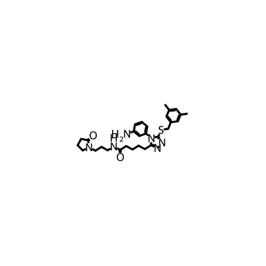 Cc1cc(C)cc(CSc2nnc(CCCCC(=O)NCCCN3CCCC3=O)n2-c2cccc(N)c2)c1